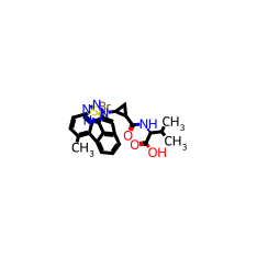 Cc1ccc2sc3c(Br)c2c1-c1cccc-3c1-c1nnnn1C1CC1C(=O)N[C@H](C(=O)O)C(C)C